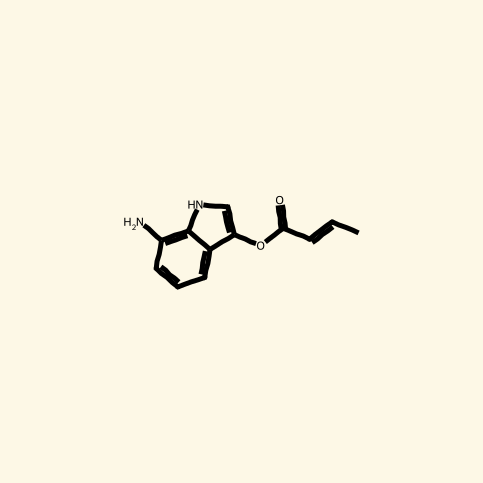 CC=CC(=O)Oc1c[nH]c2c(N)cccc12